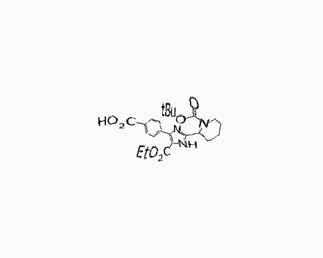 CCOC(=O)c1[nH]c(C2CCCCN2C(=O)OC(C)(C)C)nc1-c1ccc(C(=O)O)cc1